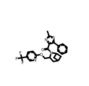 Cc1nc(C(=O)N2C(COc3ccc(C(F)(F)F)cn3)CC3CC2C3)c(-c2ccccc2)s1